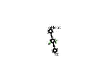 CCCCCCCc1ccc(C#Cc2cc(F)c(C#Cc3ccc(CC)cc3)c(F)c2)cc1